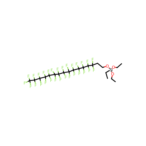 CCO[Si](CC)(OCC)OCCC(F)(F)C(F)(F)C(F)(F)C(F)(F)C(F)(F)C(F)(F)C(F)(F)C(F)(F)C(F)(F)C(F)(F)C(F)(F)C(F)(F)C(F)(F)C(F)(F)F